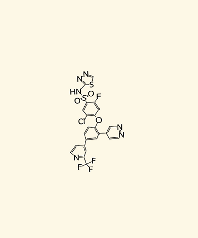 O=S(=O)(Nc1nncs1)c1cc(Cl)c(Oc2ccc(-c3ccnc(C(F)(F)F)c3)cc2-c2ccnnc2)cc1F